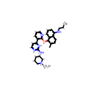 Cc1ccc2c(NCCC#N)cccc2c1Oc1ncccc1-c1ccnc(N[C@H]2CCCN(C(=O)O)C2)n1